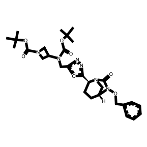 CC(C)(C)OC(=O)N1CC(N(Cc2nnc([C@@H]3CC[C@@H]4CN3C(=O)N4OCc3ccccc3)o2)C(=O)OC(C)(C)C)C1